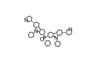 O=P(c1ccccc1)(c1ccc2c3ccc(-c4cccnc4)cc3n(-c3ccccc3)c2c1)c1ccc2c3ccc(-c4cccnc4)cc3n(-c3ccccc3)c2c1